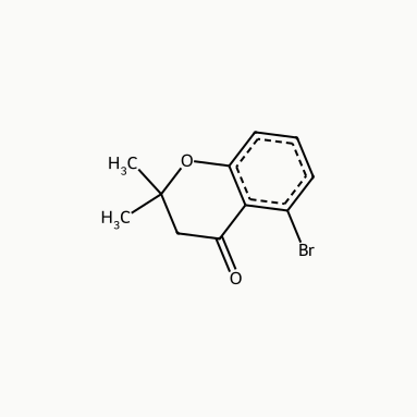 CC1(C)CC(=O)c2c(Br)cccc2O1